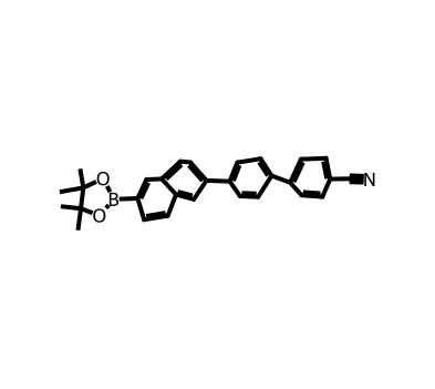 CC1(C)OB(c2ccc3cc(-c4ccc(-c5ccc(C#N)cc5)cc4)ccc3c2)OC1(C)C